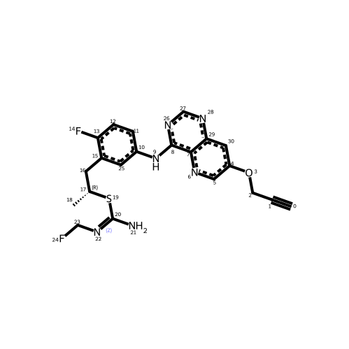 C#CCOc1cnc2c(Nc3ccc(F)c(C[C@@H](C)S/C(N)=N\CF)c3)ncnc2c1